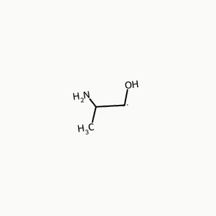 CC(N)[CH]O